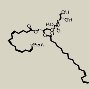 CCCCC/C=C\C/C=C\C/C=C\C/C=C\CCCC(=O)OC[C@H](COP(=O)(O)OC[C@@H](O)CO)OC(=O)CCCCCCCCCCC/C=C\C/C=C\CCCCC